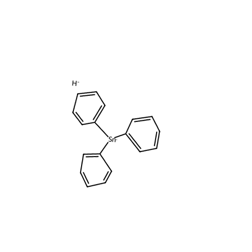 [H-].c1cc[c]([Sn]([c]2ccccc2)[c]2ccccc2)cc1